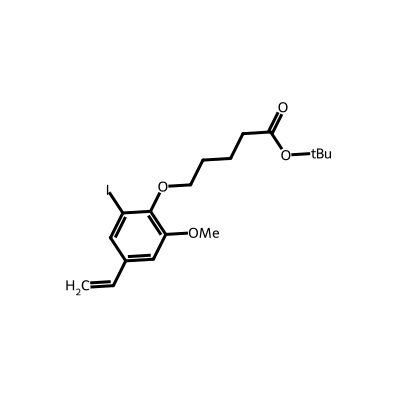 C=Cc1cc(I)c(OCCCCC(=O)OC(C)(C)C)c(OC)c1